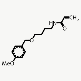 C=CC(=O)NCCCCOCc1ccc(OC)cc1